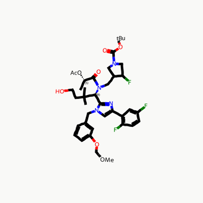 COCOc1cccc(Cn2cc(-c3cc(F)ccc3F)nc2[C@H](N(CC2CN(C(=O)OC(C)(C)C)CC2F)C(=O)[C@H](C)OC(C)=O)C(C)(C)CCO)c1